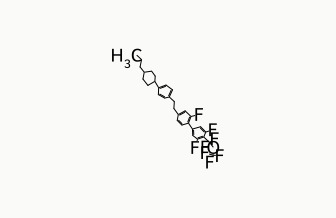 CCCC1CCC(c2ccc(CCc3ccc(-c4cc(F)c(C(F)(F)OC(F)(F)F)c(F)c4)c(F)c3)cc2)CC1